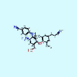 Cc1cc(CCC#N)cc(C)c1Oc1cc(Nc2ccc(C#N)cc2)c(N)cc1CO